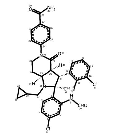 C[C@@]1(c2ccc(Cl)cc2NC=O)[C@@H](c2cccc(Cl)c2F)[C@@H]2C(=O)N(c3ccc(C(N)=O)cc3)CC[C@@H]2N1CC1CC1